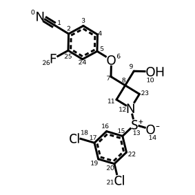 N#Cc1ccc(OCC2(CO)CN([S+]([O-])c3cc(Cl)cc(Cl)c3)C2)cc1F